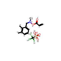 C=CC(=O)ON(CC)Cc1cccc(C)c1C.O=S(=O)(O)C(F)(F)F